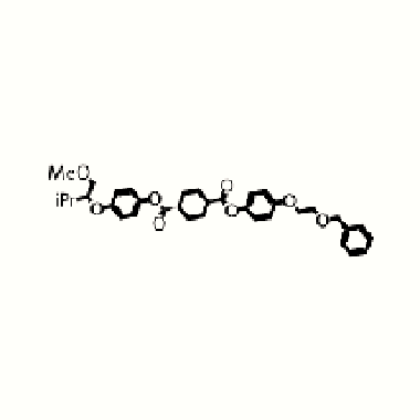 COCC(Oc1ccc(OC(=O)[C@H]2CC[C@H](C(=O)Oc3ccc(OCCOCc4ccccc4)cc3)CC2)cc1)C(C)C